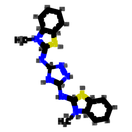 Cn1/c(=N/[C]2N=NC(/N=c3\sc4ccccc4n3C)=N2)sc2ccccc21